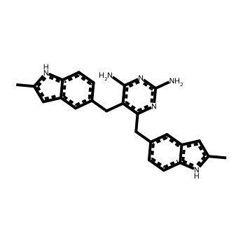 Cc1cc2cc(Cc3nc(N)nc(N)c3Cc3ccc4[nH]c(C)cc4c3)ccc2[nH]1